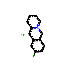 Clc1ccc2c[n+]3ccccc3cc2c1.[Cl-]